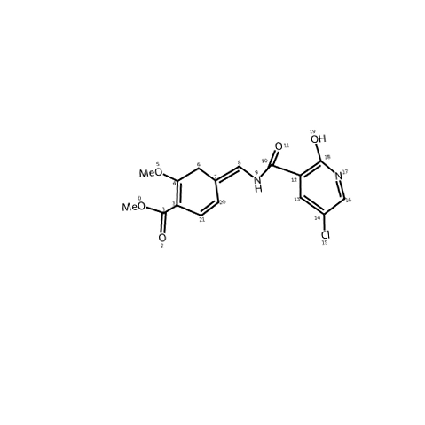 COC(=O)C1=C(OC)CC(=CNC(=O)c2cc(Cl)cnc2O)C=C1